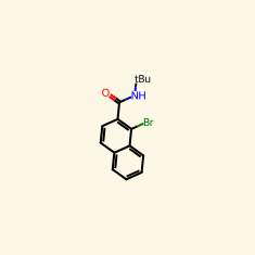 CC(C)(C)NC(=O)c1ccc2ccccc2c1Br